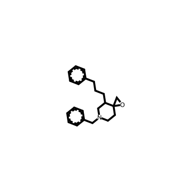 c1ccc(CCCC2CN(Cc3ccccc3)CCC23CO3)cc1